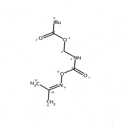 CCC(C)C(=O)OCNC(=O)ON=C(C)C